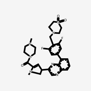 CN1CCN(C(=O)C2=CC(c3cnc4cccc(-c5cc(F)c(CN6CCS(=O)(=O)CC6)c(F)c5)c4n3)CN2C)CC1